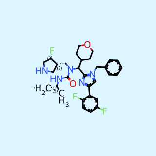 [CH2][C@@H](C)NC(=O)N(C[C@@H]1CNC[C@@H]1F)C(c1nc(-c2cc(F)ccc2F)cn1Cc1ccccc1)C1CCOCC1